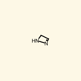 C1=NNC1